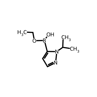 CCOB(O)c1ccnn1C(C)C